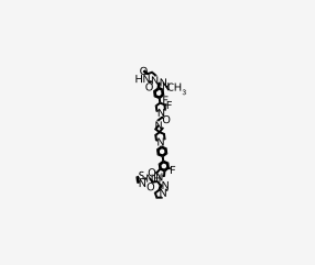 Cn1nc(N2CCC(=O)NC2=O)c2ccc(C3CCN(C(=O)CN4CC5(CCN(c6ccc(-c7cc(F)c8c(c7)C(=O)N(C(C(=O)Nc7nccs7)c7ncn9c7CCC9)C8)cc6)CC5)C4)CC3(F)F)cc21